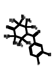 BC1(B)C(=O)C(B)(B)C(B)(B)N(C(=O)c2ccc(F)c(Cl)c2)C1(B)B